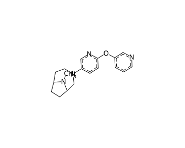 CN1C2CCC1CN(c1ccc(Oc3cccnc3)nc1)CC2